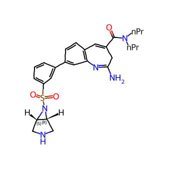 CCCN(CCC)C(=O)C1=Cc2ccc(-c3cccc(S(=O)(=O)N4[C@@H]5CNC[C@@H]54)c3)cc2N=C(N)C1